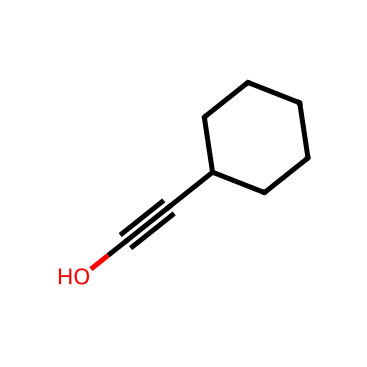 OC#CC1CCCCC1